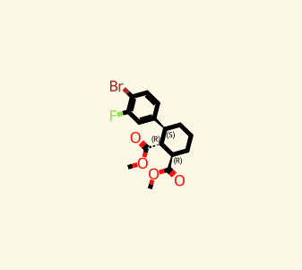 COC(=O)[C@@H]1[C@@H](c2ccc(Br)c(F)c2)CCC[C@H]1C(=O)OC